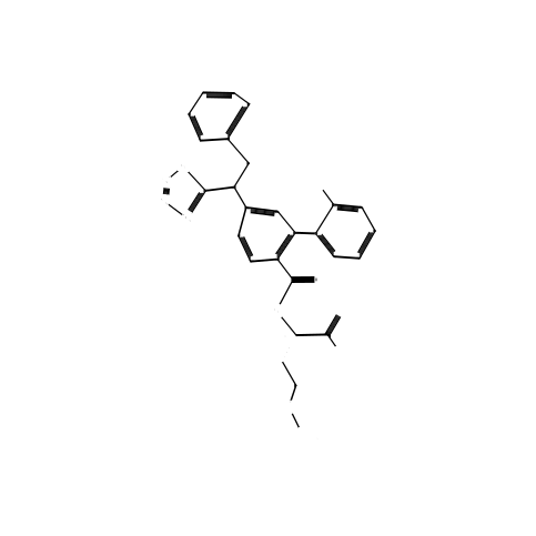 CSCC[C@H](NC(=O)c1ccc(C(Cc2ccccc2)c2nnn[nH]2)cc1-c1ccccc1C)C(=O)O